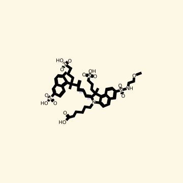 C=C(/C=C/C=C1/N(CCCCCC(=O)O)c2ccc3cc(S(=O)(=O)NCCOC)ccc3c2C1(C)CCCS(=O)(=O)O)C(C)(CCCS(=O)(=O)O)c1c(C)ccc2cc(S(=O)(=O)O)ccc12